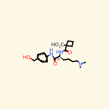 CN(C)CCCC[C@H](NC(=O)C1(C(=O)O)CCC1)C(=O)Nc1ccc(CO)cc1